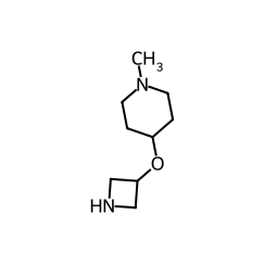 CN1CCC(OC2CNC2)CC1